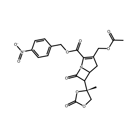 CC(=O)OCC1=C(C(=O)OCc2ccc([N+](=O)[O-])cc2)N2C(=O)C([C@]3(C)COC(=O)O3)C2C1